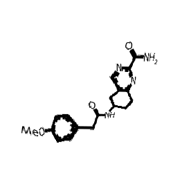 COc1ccc(CC(=O)NC2CCc3nc(C(N)=O)ncc3C2)cc1